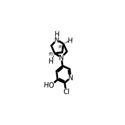 Oc1cc(N2C[C@H]3C[C@@H]2CN3)cnc1Cl